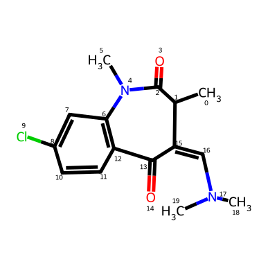 CC1C(=O)N(C)c2cc(Cl)ccc2C(=O)C1=CN(C)C